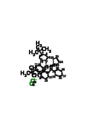 CC(C)(C)c1ccc2c(c1)-c1cc(C(C)(C)C)ccc1[CH]2[Hf+2]([C]1=CC=CC1)=[C](c1ccccc1)c1ccccc1.[Cl-].[Cl-]